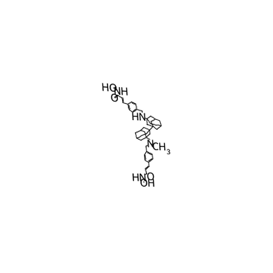 CN(Cc1ccc(/C=C/C(=O)NO)cc1)CC12CC3CC(C1)CC(C14CC5CC(CC(NCc6ccc(/C=C/C(=O)NO)cc6)(C5)C1)C4)(C3)C2